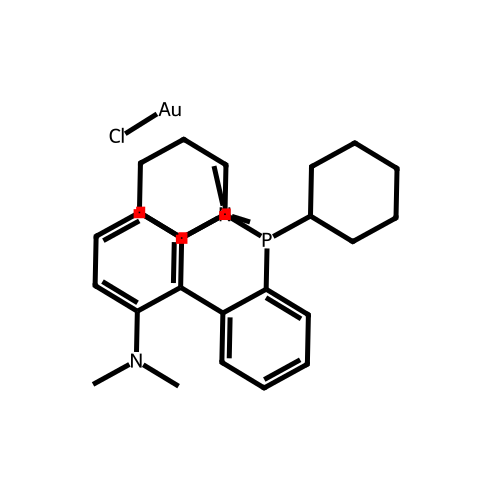 CN(C)c1cccc(N(C)C)c1-c1ccccc1P(C1CCCCC1)C1CCCCC1.[Cl][Au]